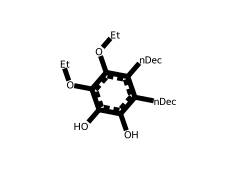 CCCCCCCCCCc1c(O)c(O)c(OCC)c(OCC)c1CCCCCCCCCC